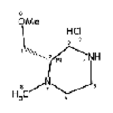 COC[C@@H]1CNCCN1C.Cl